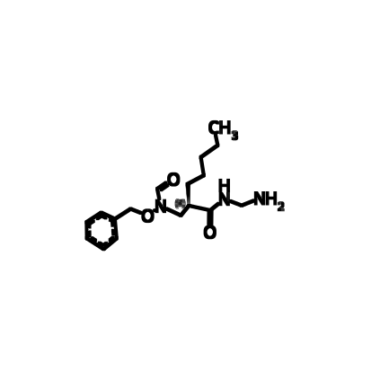 CCCCC[C@H](CN(C=O)OCc1ccccc1)C(=O)NCN